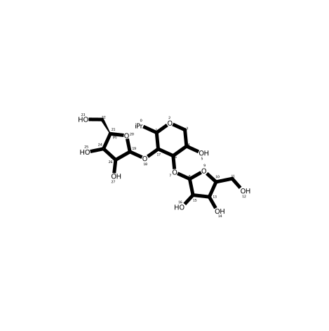 CC(C)C1OCC(O)C(OC2OC(CO)C(O)C2O)C1OC1O[C@H](CO)C(O)C1O